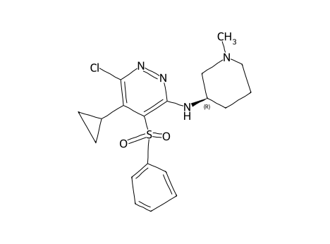 CN1CCC[C@@H](Nc2nnc(Cl)c(C3CC3)c2S(=O)(=O)c2ccccc2)C1